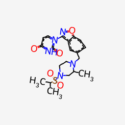 CC1CN(S(=O)(=O)C(C)C)CCN1Cc1ccc2onc(-n3ccc(=O)[nH]c3=O)c2c1